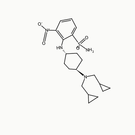 NS(=O)(=O)c1cccc([N+](=O)[O-])c1N[C@H]1CC[C@H](N(CC2CC2)CC2CC2)CC1